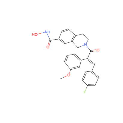 COc1cccc(C(=Cc2ccc(F)cc2)C(=O)N2CCc3ccc(C(=O)NO)cc3C2)c1